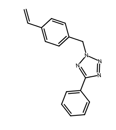 C=Cc1ccc(Cn2nnc(-c3ccccc3)n2)cc1